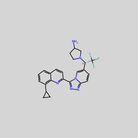 NC1CCN([C@@H](c2ccc3nnc(-c4ccc5cccc(C6CC6)c5n4)n3c2)C(F)(F)F)C1